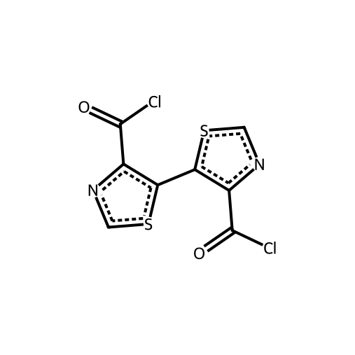 O=C(Cl)c1ncsc1-c1scnc1C(=O)Cl